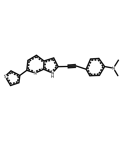 CN(C)c1ccc(C#Cc2cc3ccc(-c4ccsc4)nc3[nH]2)cc1